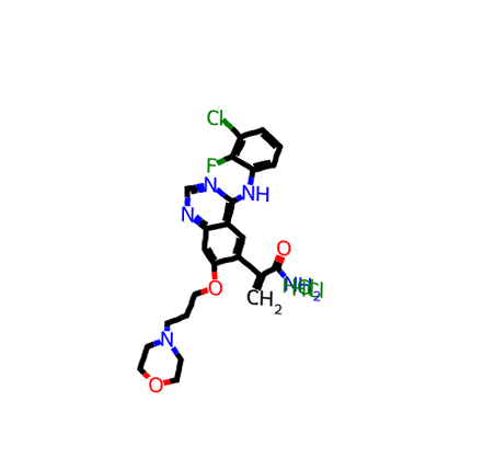 C=C(C(N)=O)c1cc2c(Nc3cccc(Cl)c3F)ncnc2cc1OCCCN1CCOCC1.Cl.Cl